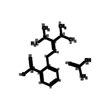 CN(C)C(=NCc1ccccc1[N+](=O)[O-])N(C)C.NC(=O)O